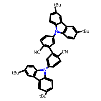 CC(C)(C)c1ccc2c(c1)c1cc(C(C)(C)C)ccc1n2-c1ccc(C#N)c(-c2cc(-n3c4ccc(C(C)(C)C)cc4c4cc(C(C)(C)C)ccc43)ccc2C#N)c1